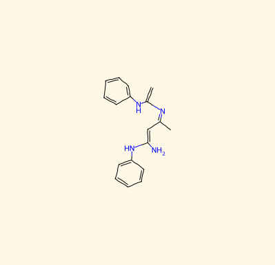 C=C(/N=C(C)\C=C(/N)Nc1ccccc1)Nc1ccccc1